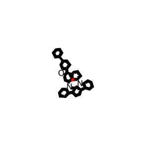 c1ccc(-c2ccc3c(c2)oc2cc(-n4c5ccccc5c5ccc6c7ccccc7n(-c7ccccc7)c6c54)ccc23)cc1